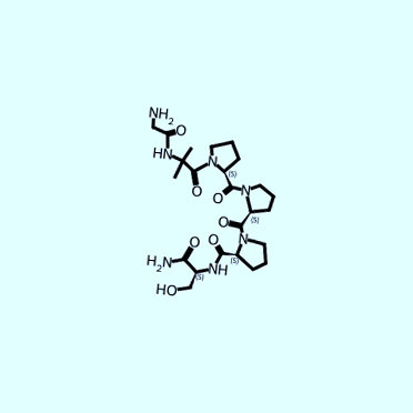 CC(C)(NC(=O)CN)C(=O)N1CCC[C@H]1C(=O)N1CCC[C@H]1C(=O)N1CCC[C@H]1C(=O)N[C@@H](CO)C(N)=O